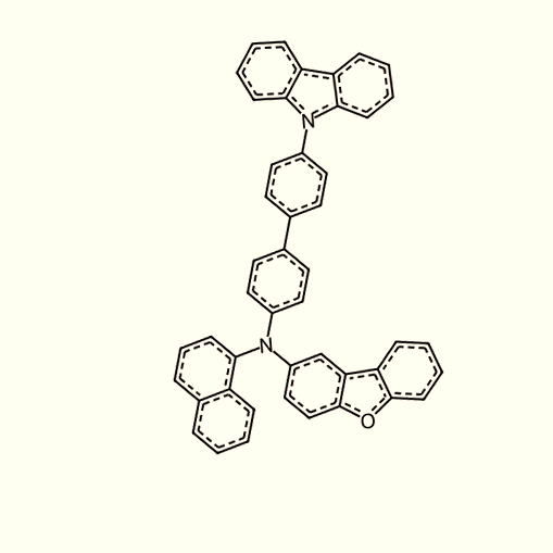 c1ccc2c(N(c3ccc(-c4ccc(-n5c6ccccc6c6ccccc65)cc4)cc3)c3ccc4oc5ccccc5c4c3)cccc2c1